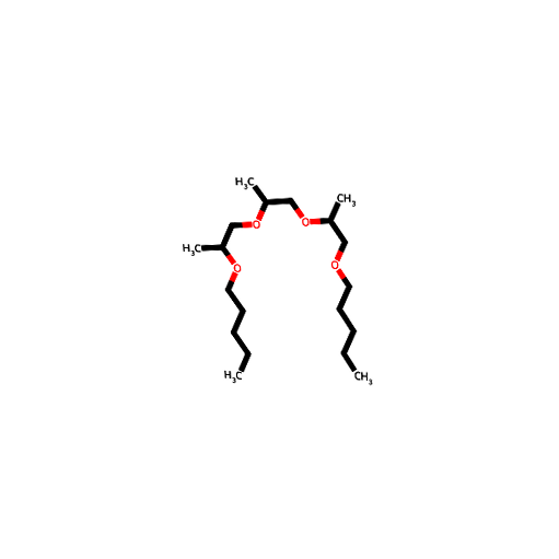 CCCCCOCC(C)OCC(C)OCC(C)OCCCCC